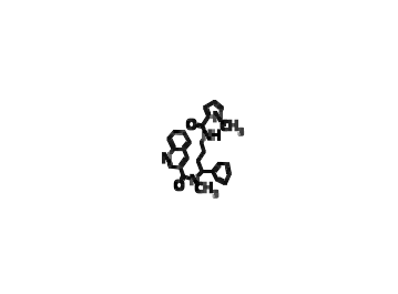 CN(C(=O)c1cnc2ccccc2c1)C(CCCNC(=O)c1cccn1C)c1ccccc1